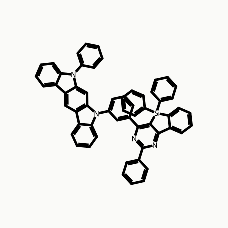 c1ccc(-c2nc(-c3cccc(-n4c5ccccc5c5cc6c7ccccc7n(-c7ccccc7)c6cc54)c3)c3c(n2)-c2ccccc2[Si]3(c2ccccc2)c2ccccc2)cc1